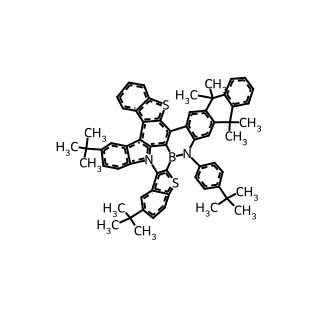 CC(C)(C)c1ccc(N2B3c4sc5ccc(C(C)(C)C)cc5c4-n4c5ccc(C(C)(C)C)cc5c5c6c(sc7ccccc76)c(c3c54)-c3cc4c(cc32)C(C)(C)c2ccccc2C4(C)C)cc1